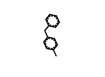 [CH2]c1ccc(Cc2[c]cccc2)cc1